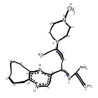 C=C(N)/N=C(\C=C(/N)N1CCN(C)CC1)c1cnc2c(n1)CCCC2